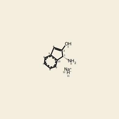 N[C@H]1C(O)=Cc2ccccc21.[H-].[Na+]